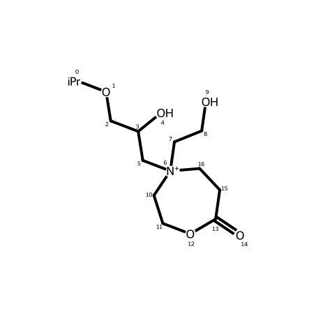 CC(C)OCC(O)C[N+]1(CCO)CCOC(=O)CC1